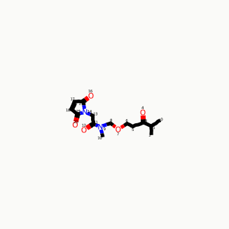 CC(C)C(=O)CCOCN(C)C(=O)CN1C(=O)C=CC1=O